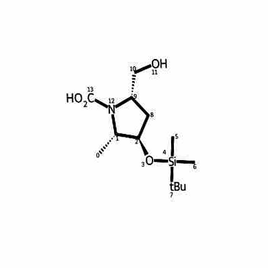 C[C@H]1[C@H](O[Si](C)(C)C(C)(C)C)C[C@@H](CO)N1C(=O)O